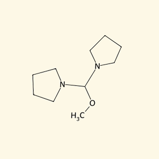 COC(N1CCCC1)N1CCCC1